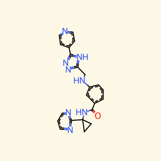 O=C(NC1(c2ncccn2)CC1)c1cccc(NCc2nnc(-c3ccncc3)[nH]2)c1